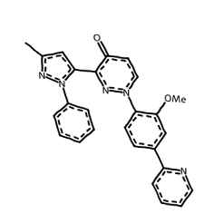 COc1cc(-c2ccccn2)ccc1-n1ccc(=O)c(-c2cc(C)nn2-c2ccccc2)n1